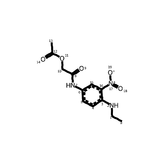 CCNc1ccc(NC(=O)COC(C)=O)cc1[N+](=O)[O-]